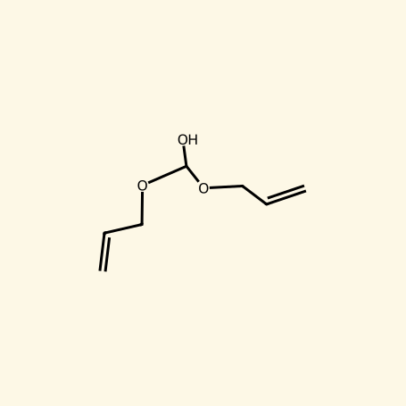 C=CCOC(O)OCC=C